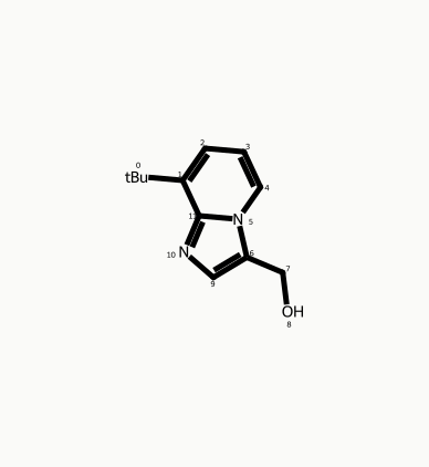 CC(C)(C)c1cccn2c(CO)cnc12